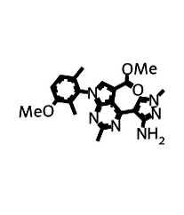 COC(=O)c1cn(-c2c(C)ccc(OC)c2C)c2nc(C)nc(-c3cn(C)nc3N)c12